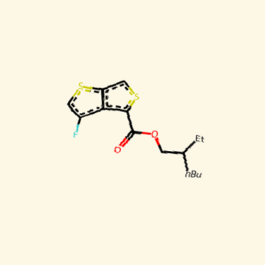 CCCCC(CC)COC(=O)c1scc2scc(F)c12